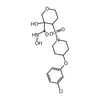 O=C(NO)C1(O)COCCC1S(=O)(=O)N1CCC(Oc2cccc(Cl)c2)CC1